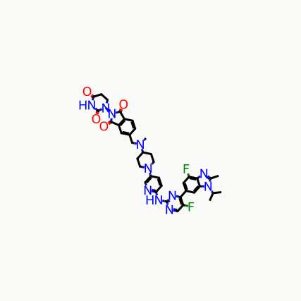 Cc1nc2c(F)cc(-c3nc(Nc4ccc(N5CCC(N(C)Cc6ccc7c(c6)C(=O)N(N6CCC(=O)NC6=O)C7=O)CC5)cn4)ncc3F)cc2n1C(C)C